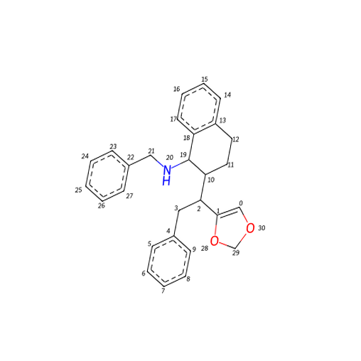 C1=C(C(Cc2ccccc2)C2CCc3ccccc3C2NCc2ccccc2)OCO1